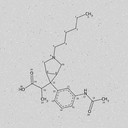 CCCCCCN1CC2C(C1)C2(c1cccc(NC(C)=O)c1)C(C)C(=O)O